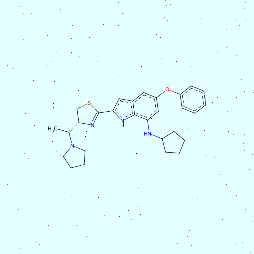 CC([C@@H]1CSC(c2cc3cc(Oc4ccccc4)cc(NC4CCCC4)c3[nH]2)=N1)N1CCCC1